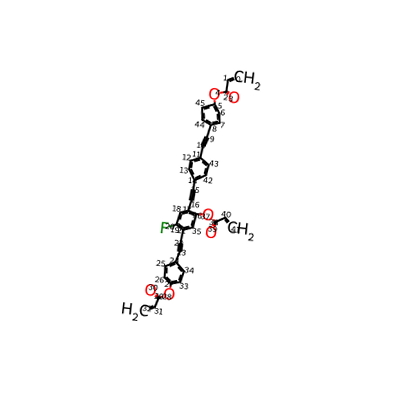 C=CC(=O)Oc1ccc(C#Cc2ccc(C#Cc3cc(F)c(C#Cc4ccc(OC(=O)C=C)cc4)cc3OC(=O)C=C)cc2)cc1